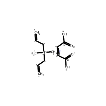 C=CC[N+](C)(C)CC=C.O=C(O)/C=C\C(=O)O